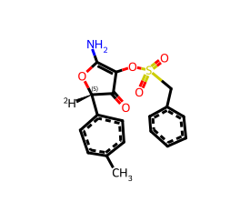 [2H][C@@]1(c2ccc(C)cc2)OC(N)=C(OS(=O)(=O)Cc2ccccc2)C1=O